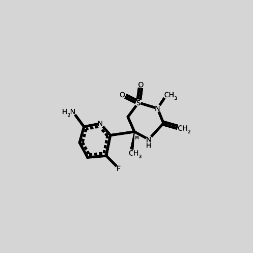 C=C1N[C@](C)(c2nc(N)ccc2F)CS(=O)(=O)N1C